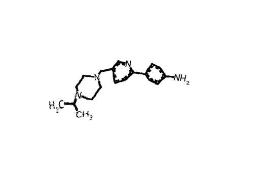 CC(C)N1CCN(Cc2ccc(-c3ccc(N)cc3)nc2)CC1